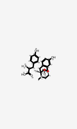 CN1CC[C@]23CCCC[C@H]2[C@H]1Cc1ccc(O)cc13.NC(Cc1ccc(O)cc1)C(=O)O